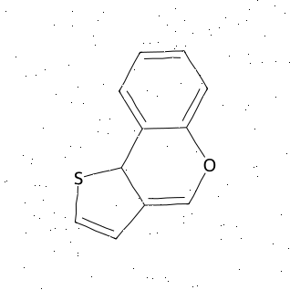 C1=CC2=COc3ccccc3C2S1